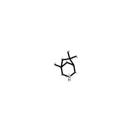 CC12CNCC(C1)C(C)(C)C2